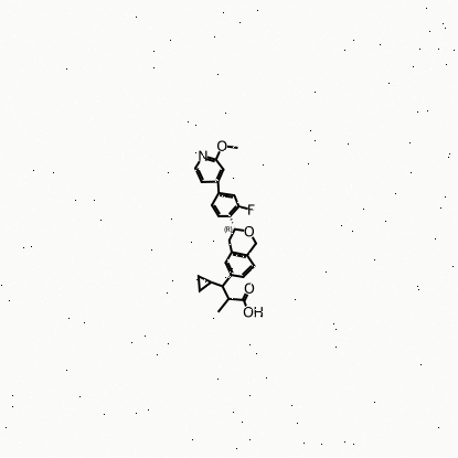 COc1cc(-c2ccc([C@H]3Cc4cc(C(C5CC5)C(C)C(=O)O)ccc4CO3)c(F)c2)ccn1